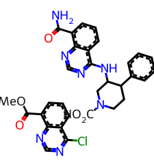 COC(=O)c1cccc2c(Cl)ncnc12.NC(=O)c1cccc2c(NC3CN(C(=O)O)CCC3c3ccccc3)ncnc12